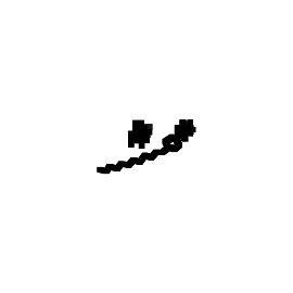 CCCCCCCCCCCCc1ccc([N+]#N)cc1.F[B-](F)(F)F